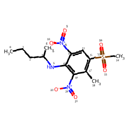 CCCC(C)Nc1c([N+](=O)[O-])cc(S(C)(=O)=O)c(C)c1[N+](=O)[O-]